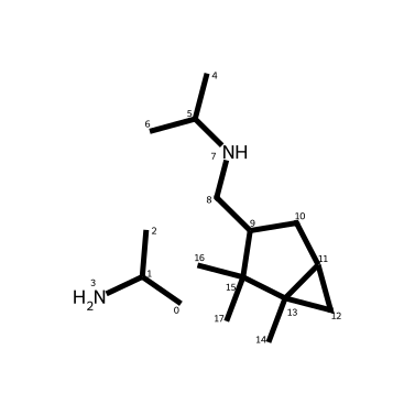 CC(C)N.CC(C)NCC1CC2CC2(C)C1(C)C